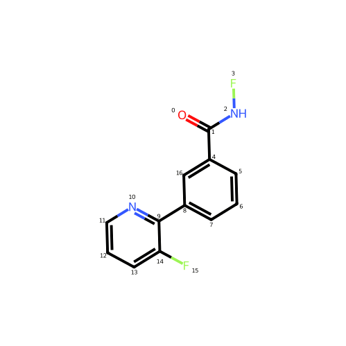 O=C(NF)c1cccc(-c2ncccc2F)c1